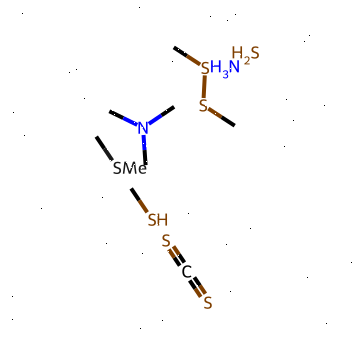 CN(C)C.CS.CSC.CSSC.N.S.S=C=S